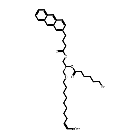 CCCCCCCC/C=C\CCCCCCCCOC[C@@H](COC(=O)CCCc1ccc2cc3ccccc3cc2c1)OC(=O)CCCCCBr